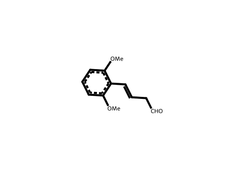 COc1cccc(OC)c1C=CCC=O